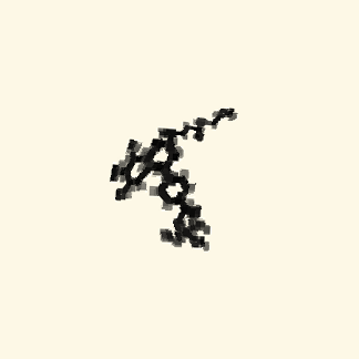 CCOC(=O)CCNc1nc(N2CCN(C(=O)OC(C)(C)C)CC2)c2cc(Cl)c(Br)c(F)c2n1